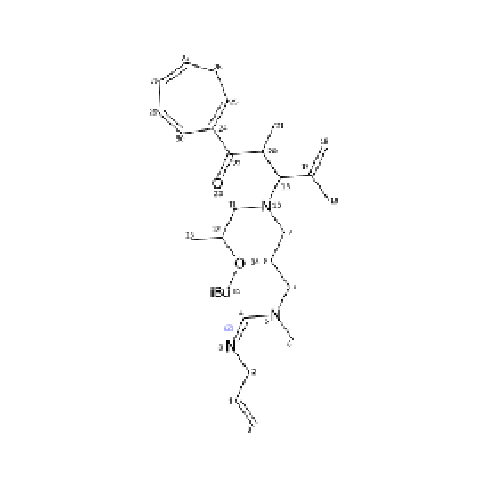 C=CC/N=C\N(C)CCCN(CC(C)OC(C)CC)C(C(=C)C)C(C)C(=O)C1=CCC=CC=C1